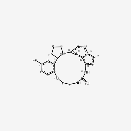 O=C1NCCOc2ccc(F)cc2C2CCCN2c2ccn3ncc(c3n2)N1